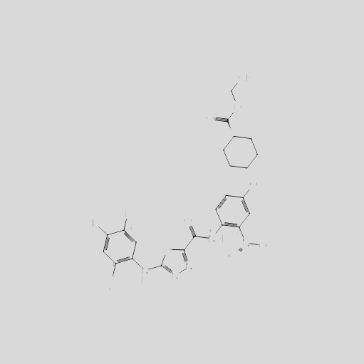 CCOC(=O)[C@H]1CC[C@H](Oc2ccc(NC(=O)c3nnc(Nc4cc(F)c(F)cc4F)o3)c([N+](=O)[O-])c2)CC1